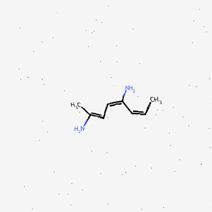 C\C=C/C(N)=C\C=C(/C)N